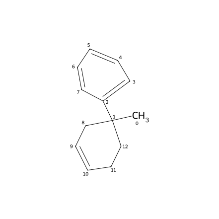 CC1(c2ccccc2)CC=CCC1